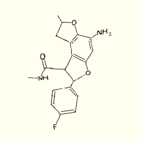 CNC(=O)C1c2c(cc(N)c3c2CC(C)O3)OC1c1ccc(F)cc1